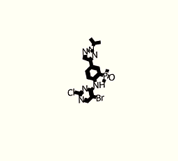 CC(C)n1ncc(-c2ccc(Nc3nc(Cl)ncc3Br)c(P(C)(C)=O)c2)n1